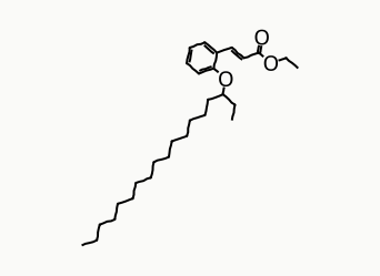 CCCCCCCCCCCCCCCC(CC)Oc1ccccc1C=CC(=O)OCC